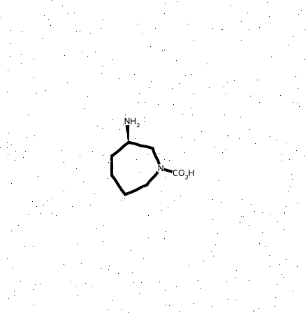 N[C@@H]1CCCCN(C(=O)O)C1